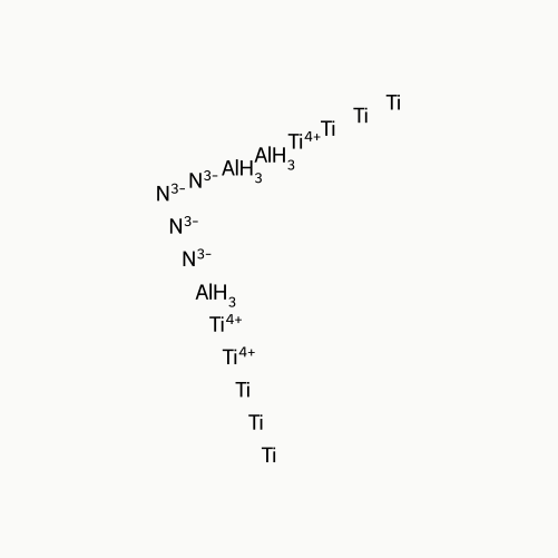 [AlH3].[AlH3].[AlH3].[N-3].[N-3].[N-3].[N-3].[Ti+4].[Ti+4].[Ti+4].[Ti].[Ti].[Ti].[Ti].[Ti].[Ti]